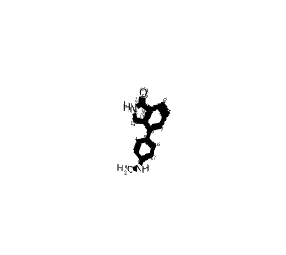 CNc1ccc(-c2cccc3c2CNC3=O)cc1